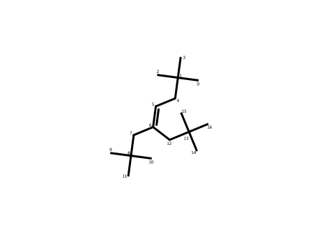 CC(C)(C)CC=C(CC(C)(C)C)CC(C)(C)C